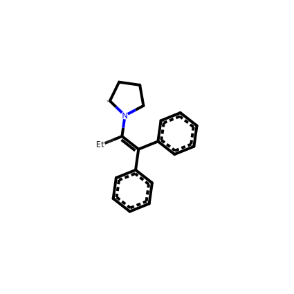 CCC(=C(c1ccccc1)c1ccccc1)N1[CH]CCC1